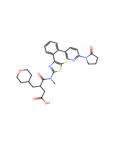 CN(C(=O)C(CC(=O)O)CC1CCOCC1)c1nc(-c2ccccc2-c2ccc(N3CCCC3=O)nc2)c(F)s1